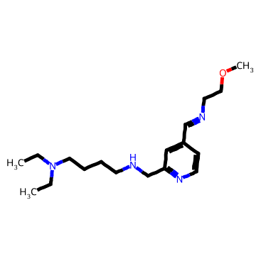 CCN(CC)CCCCNCc1cc(/C=N/CCOC)ccn1